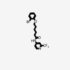 O=C(CCCCCOc1ccccc1Br)Nc1ccnc(C(F)(F)F)c1